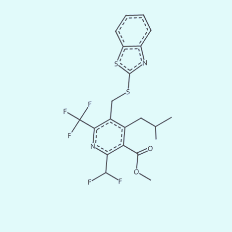 COC(=O)c1c(C(F)F)nc(C(F)(F)F)c(CSc2nc3ccccc3s2)c1CC(C)C